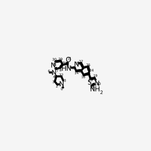 CN1CCC(N(C)c2cc(C(=O)Nc3cc4cc(-c5cnc(N)s5)ccc4cn3)ccn2)CC1